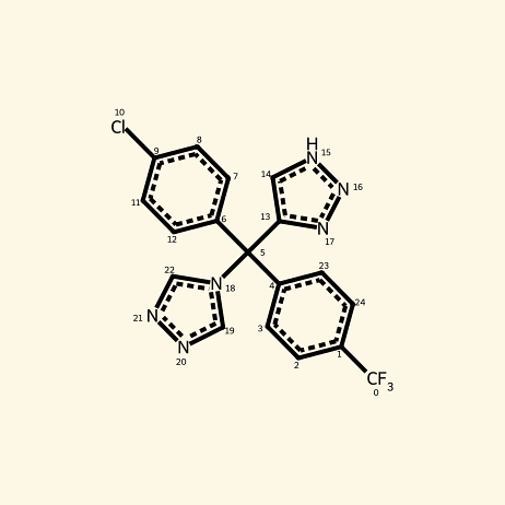 FC(F)(F)c1ccc(C(c2ccc(Cl)cc2)(c2c[nH]nn2)n2cnnc2)cc1